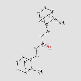 CC1C2CCC(CC2)C1CCC(=O)CCC1C2CCC(CC2)C1C